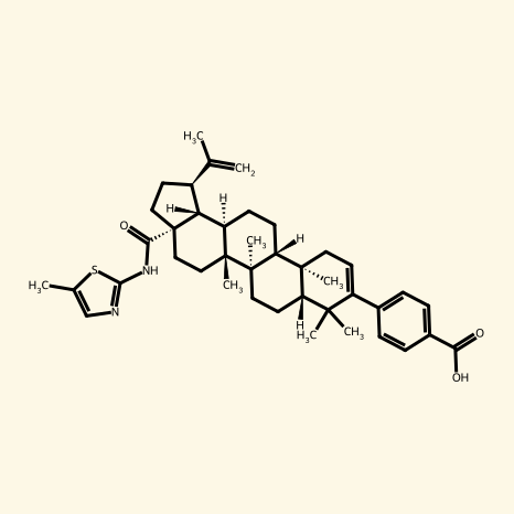 C=C(C)[C@@H]1CC[C@]2(C(=O)Nc3ncc(C)s3)CC[C@]3(C)[C@H](CC[C@@H]4[C@@]5(C)CC=C(c6ccc(C(=O)O)cc6)C(C)(C)[C@@H]5CC[C@]43C)[C@@H]12